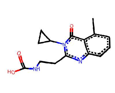 Cc1cccc2nc(CCNC(=O)O)n(C3CC3)c(=O)c12